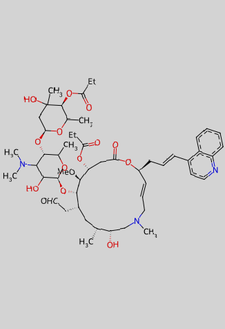 CCC(=O)O[C@@H]1CC(=O)O[C@@H](C/C=C/c2ccnc3ccccc23)/C=C/CN(C)C[C@H](O)[C@H](C)C[C@H](CC=O)[C@H](O[C@@H]2OC(C)[C@@H](O[C@H]3CC(C)(O)[C@@H](OC(=O)CC)C(C)O3)C(N(C)C)C2O)[C@H]1OC